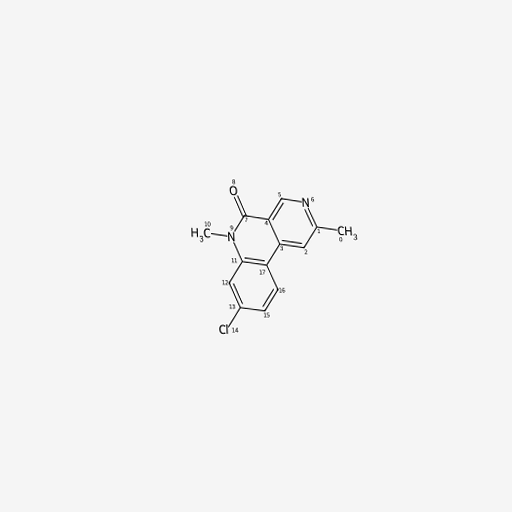 Cc1cc2c(cn1)c(=O)n(C)c1cc(Cl)ccc21